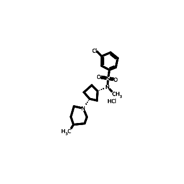 CC1CCN([C@@H]2CC[C@H](N(C)S(=O)(=O)c3cccc(Cl)c3)C2)CC1.Cl